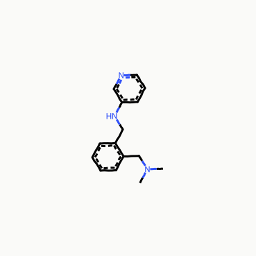 CN(C)Cc1ccccc1CNc1cccnc1